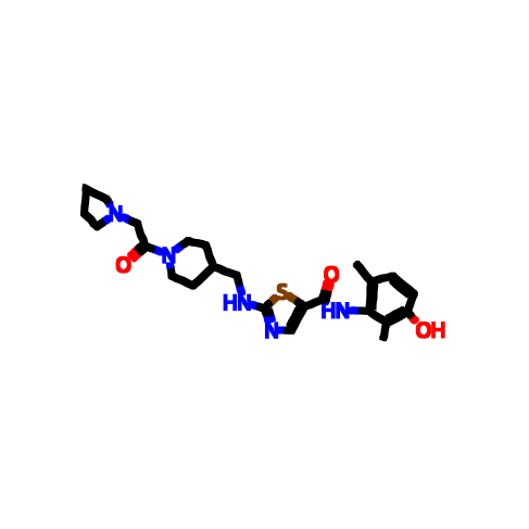 Cc1ccc(O)c(C)c1NC(=O)c1cnc(NCC2CCN(C(=O)CN3CCCC3)CC2)s1